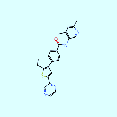 CCc1sc(-c2cnccn2)cc1-c1ccc(C(=O)Nc2cnc(C)cc2C)cc1